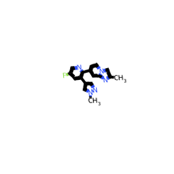 Cc1cn2ccc(-c3ncc(F)cc3-c3cnn(C)c3)cc2n1